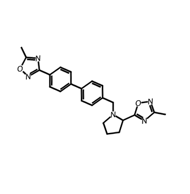 Cc1noc(C2CCCN2Cc2ccc(-c3ccc(-c4noc(C)n4)cc3)cc2)n1